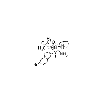 CC(C)(C)OC(=O)NC1CC2CCC(C1)N2C(=O)C(N)C(F)(F)c1ccc2cc(Br)ccc2c1